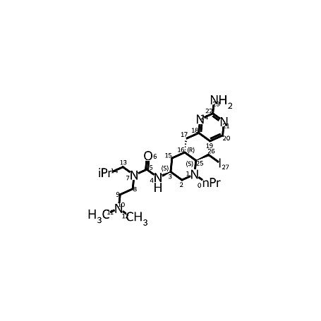 CCCN1C[C@@H](NC(=O)N(CCN(C)C)CC(C)C)C[C@H](Cc2ccnc(N)n2)[C@H]1CI